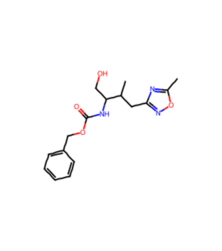 Cc1nc(CC(C)C(CO)NC(=O)OCc2ccccc2)no1